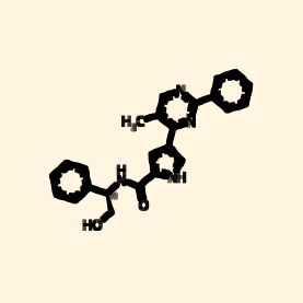 Cc1cnc(-c2ccccc2)nc1-c1c[nH]c(C(=O)N[C@@H](CO)c2ccccc2)c1